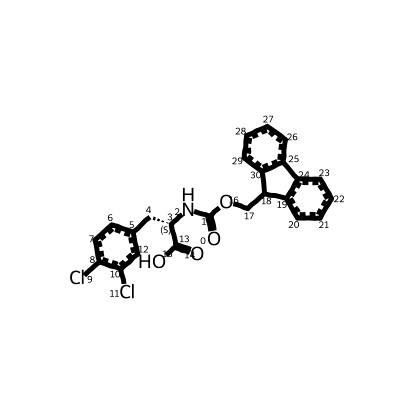 O=C(N[C@@H](Cc1ccc(Cl)c(Cl)c1)C(=O)O)OCC1c2ccccc2-c2ccccc21